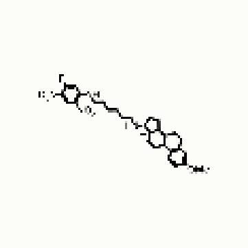 COc1ccc2c(c1)CCC1C2CC[C@@]2(C)C1CC[C@@H]2NCCCCCCNc1cc(F)c([N+](=O)[O-])cc1[N+](=O)[O-]